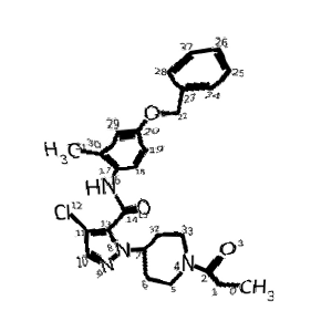 CCC(=O)N1CCC(n2ncc(Cl)c2C(=O)Nc2ccc(OCc3ccccc3)cc2C)CC1